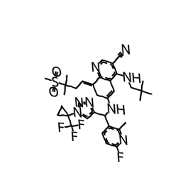 Cc1nc(F)ccc1C(NC1=Cc2c(ncc(C#N)c2NCC(C)(C)C)C(=CCC(C)(C)S(C)(=O)=O)C1)c1cn(C2(C(F)(F)F)CC2)nn1